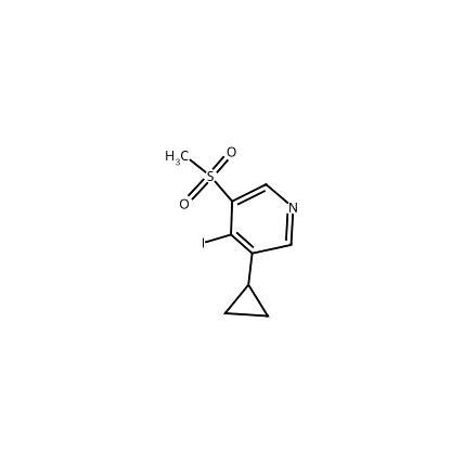 CS(=O)(=O)c1cncc(C2CC2)c1I